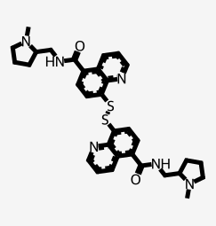 CN1CCCC1CNC(=O)c1ccc(SSc2ccc(C(=O)NCC3CCCN3C)c3cccnc23)c2ncccc12